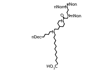 CCCCCCCCCCCCCCN(CCCCCCCCCCCC(=O)O)CCC1CCN(C(=O)CN(CCCCCCCCC)CCN(CCCCCCCCC)CCCCCCCCC)CC1